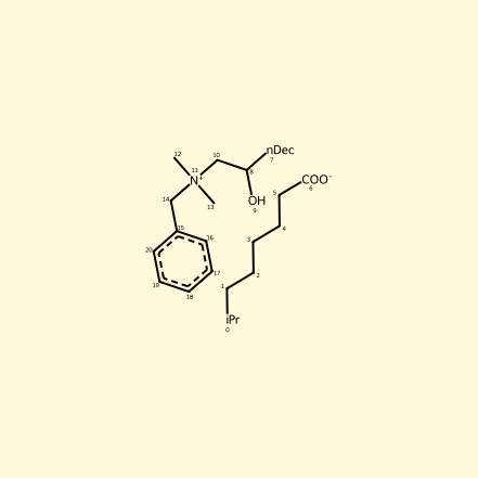 CC(C)CCCCCC(=O)[O-].CCCCCCCCCCC(O)C[N+](C)(C)Cc1ccccc1